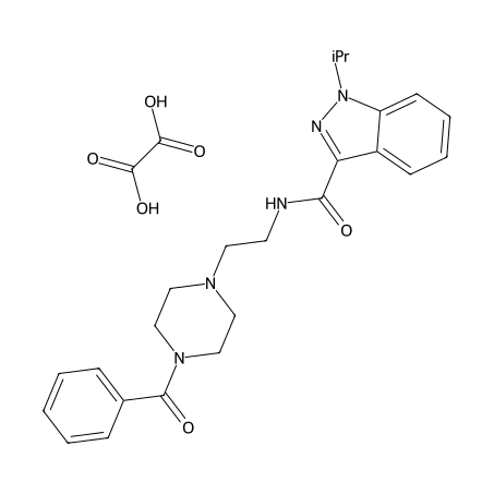 CC(C)n1nc(C(=O)NCCN2CCN(C(=O)c3ccccc3)CC2)c2ccccc21.O=C(O)C(=O)O